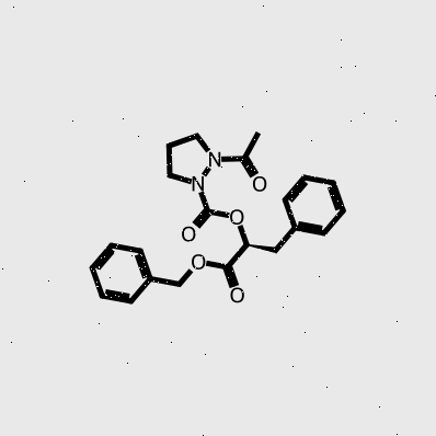 CC(=O)N1CCCN1C(=O)O[C@@H](Cc1ccccc1)C(=O)OCc1ccccc1